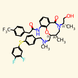 C[C@@H]1CN([C@@H](C)CO)C(=O)c2cccc(NC(=O)Cc3ccc(C(F)(F)F)cc3)c2O[C@@H]1CN(C)Cc1ccc(Sc2ccc(F)c(F)c2)cc1